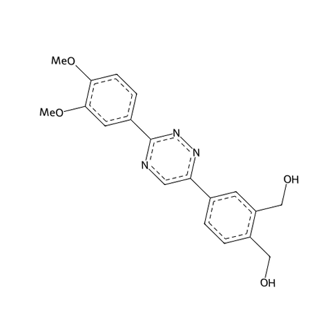 COc1ccc(-c2ncc(-c3ccc(CO)c(CO)c3)nn2)cc1OC